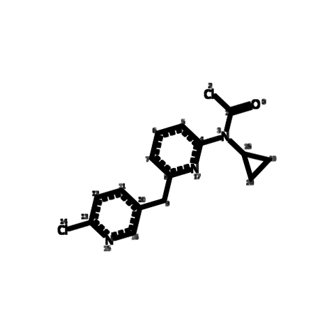 O=C(Cl)N(c1cccc(Cc2ccc(Cl)nc2)n1)C1CC1